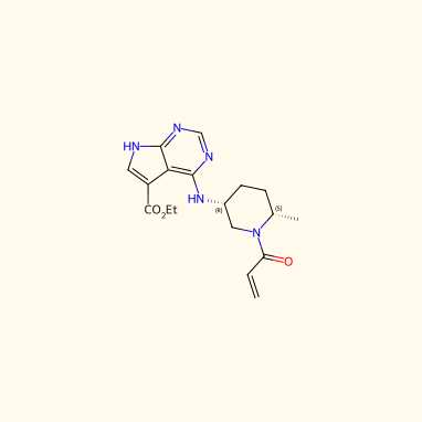 C=CC(=O)N1C[C@H](Nc2ncnc3[nH]cc(C(=O)OCC)c23)CC[C@@H]1C